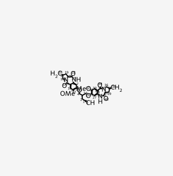 C#CCC(COc1cc2c(cc1OC)C(=O)N1CC(=C)CC1C(=O)N2)COc1cc2c(cc1OC)C(=O)N1CC(=C)CC1C(=O)N2